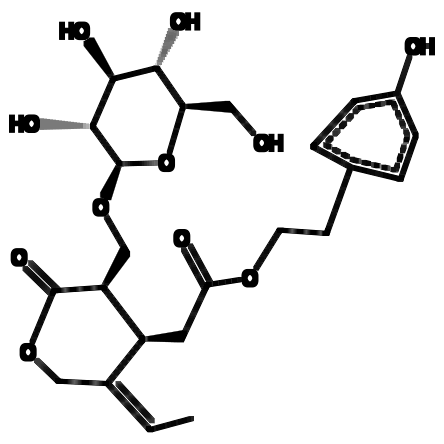 C/C=C1/COC(=O)[C@@H](CO[C@@H]2O[C@H](CO)[C@@H](O)[C@H](O)[C@H]2O)[C@H]1CC(=O)OCCc1ccc(O)cc1